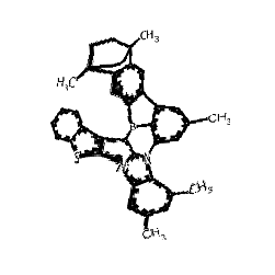 Cc1cc2c3c(c1)-n1c4c(C)cc(C)cc4n4c5sc6ccccc6c5c(c14)B3c1cc3c(cc1-2)C1(C)CCC3(C)CC1